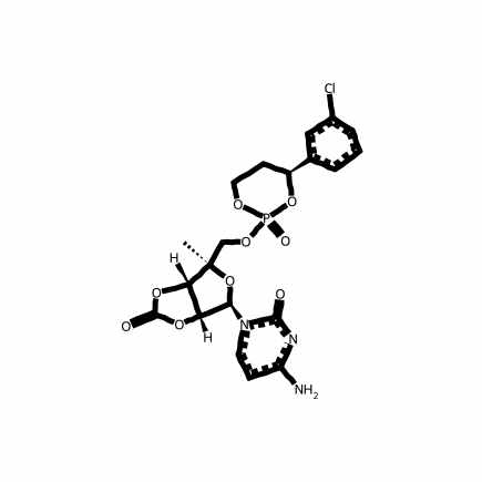 C[C@]1(COP2(=O)OCC[C@@H](c3cccc(Cl)c3)O2)O[C@@H](n2ccc(N)nc2=O)[C@@H]2OC(=O)O[C@@H]21